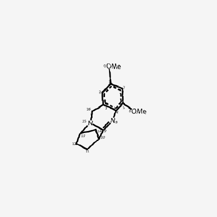 COc1cc2c(c(OC)c1)N=C1C3CCC(C3)N1C2